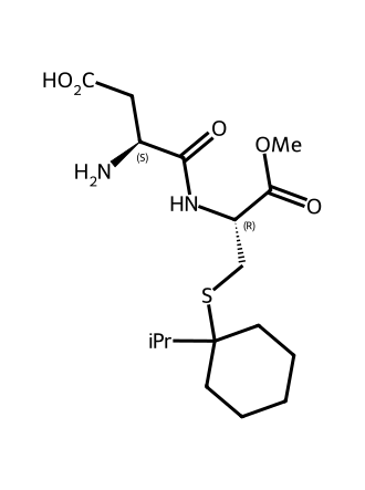 COC(=O)[C@H](CSC1(C(C)C)CCCCC1)NC(=O)[C@@H](N)CC(=O)O